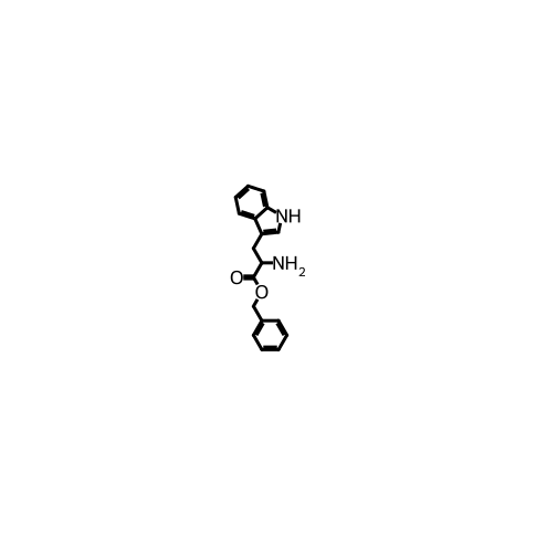 NC(Cc1c[nH]c2ccccc12)C(=O)OCc1ccccc1